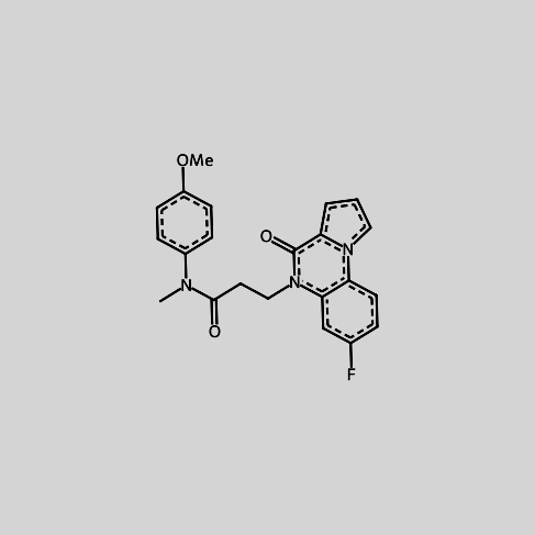 COc1ccc(N(C)C(=O)CCn2c(=O)c3cccn3c3ccc(F)cc32)cc1